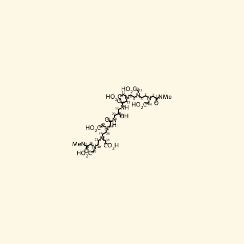 CNC(=O)CN(CCN(CCN(CC(=O)O)CC(=O)NCC(O)CNC(=O)CN(CCN(CCN(CC(=O)O)CC(=O)NC)CC(=O)O)CC(=O)O)CC(=O)O)CC(=O)O